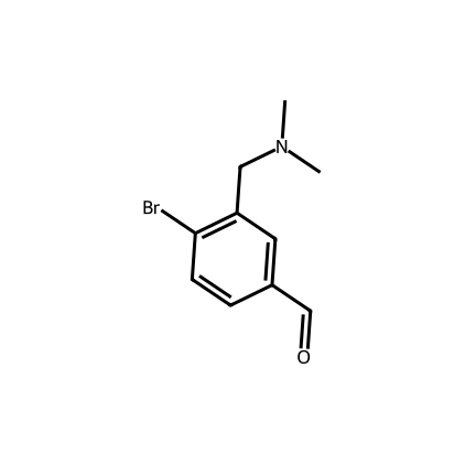 CN(C)Cc1cc(C=O)ccc1Br